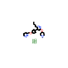 CCCCc1nnc(OC2CCN(C)CC2)cc1-c1ccc(OCc2cccnn2)cc1.Cl.Cl.Cl